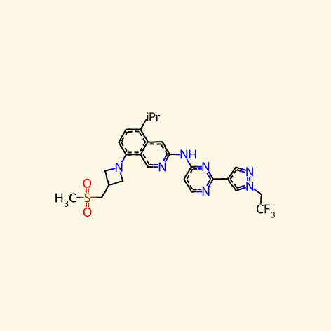 CC(C)c1ccc(N2CC(CS(C)(=O)=O)C2)c2cnc(Nc3ccnc(-c4cnn(CC(F)(F)F)c4)n3)cc12